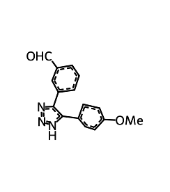 COc1ccc(-c2[nH]nnc2-c2cccc(C=O)c2)cc1